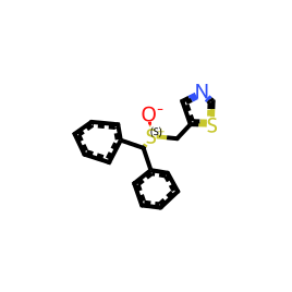 [O-][S@+](Cc1cncs1)C(c1ccccc1)c1ccccc1